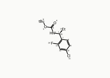 CC[C@H](NC(=O)OC(C)(C)C)c1ccc(Cl)cc1F